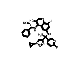 BC(Nc1cc(Cl)c2ncc(C#N)c(N[C@@H](CC#N)c3ccccc3)c2c1)(c1ccc(F)nc1)c1cn(C2CC2)nn1